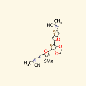 CSc1cc(-c2sc(-c3cc4sc(/C=C(/C)C#N)cc4o3)c3c2OCCO3)oc1/C=C/C=C(/C)C#N